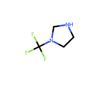 FC(F)(F)N1CCNC1